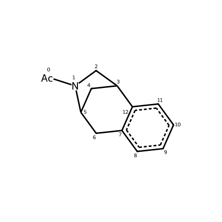 CC(=O)N1CC2CC1Cc1ccccc12